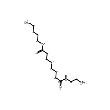 CCCCCCCCCCCCCCOC(=O)CCSCCCC(=N)NCCCCCCCCCCCC